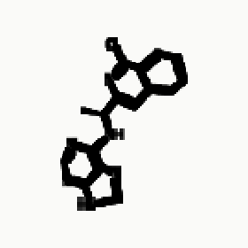 C[C@H](Nc1ncnc2[nH]cnc12)c1cc2ccccc2c(Cl)n1